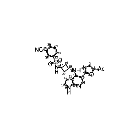 CC(=O)c1cnc(-c2cnc3[nH]ccc3c2N[C@H]2C[C@H](NS(=O)(=O)c3cccc(C#N)c3)C2)o1